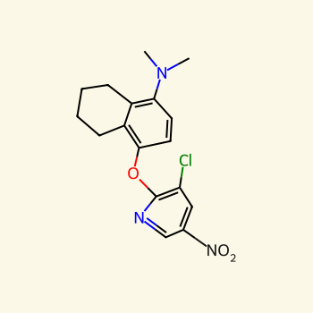 CN(C)c1ccc(Oc2ncc([N+](=O)[O-])cc2Cl)c2c1CCCC2